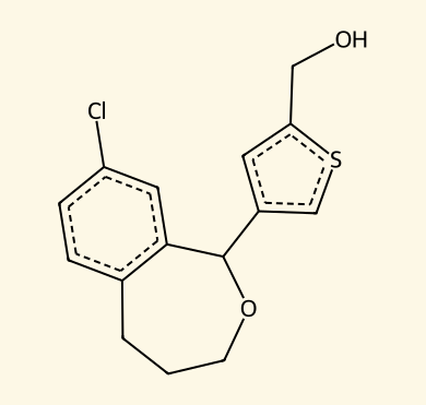 OCc1cc(C2OCCCc3ccc(Cl)cc32)cs1